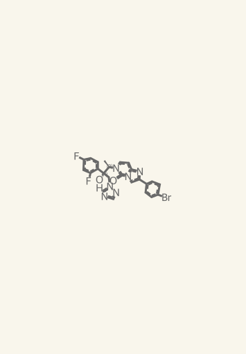 C[C@@H](n1ccc2nc(-c3ccc(Br)cc3)cn2c1=O)[C@](O)(Cn1cncn1)c1ccc(F)cc1F